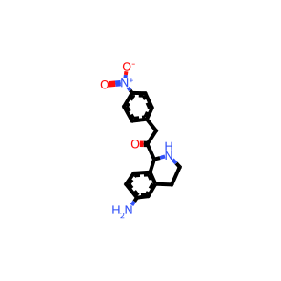 Nc1ccc2c(c1)CCNC2C(=O)Cc1ccc([N+](=O)[O-])cc1